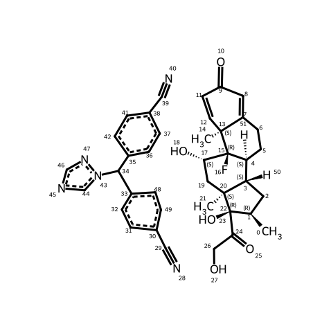 C[C@@H]1C[C@H]2[C@@H]3CCC4=CC(=O)C=C[C@]4(C)[C@@]3(F)[C@@H](O)C[C@]2(C)[C@@]1(O)C(=O)CO.N#Cc1ccc(C(c2ccc(C#N)cc2)n2cncn2)cc1